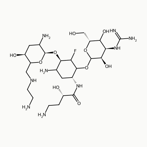 N=C(N)N[C@@H]1C(O)[C@@H](CO)OC(OC2C(F)[C@H](O[C@H]3OC(CNCCN)[C@@H](O)CC3N)C(N)C[C@H]2NC(=O)[C@@H](O)CCN)[C@@H]1O